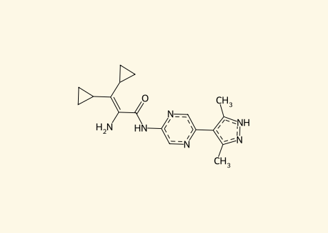 Cc1n[nH]c(C)c1-c1cnc(NC(=O)C(N)=C(C2CC2)C2CC2)cn1